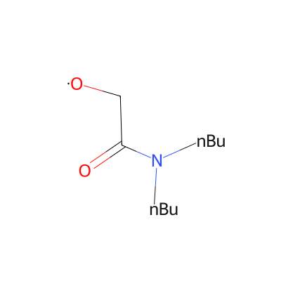 CCCCN(CCCC)C(=O)C[O]